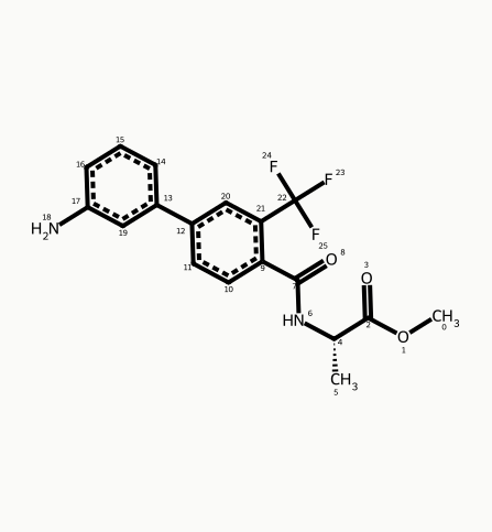 COC(=O)[C@H](C)NC(=O)c1ccc(-c2cccc(N)c2)cc1C(F)(F)F